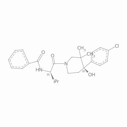 CC(C)[C@@H](NC(=O)c1ccccc1)C(=O)N1CC[C@@](O)(c2ccc(Cl)cc2)C(C)(C)C1